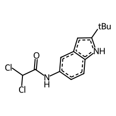 CC(C)(C)c1cc2cc(NC(=O)C(Cl)Cl)ccc2[nH]1